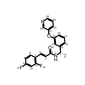 C[C@H](NC(=O)/C=C/c1ccc(F)cc1F)c1cccc(Oc2cccnc2)c1